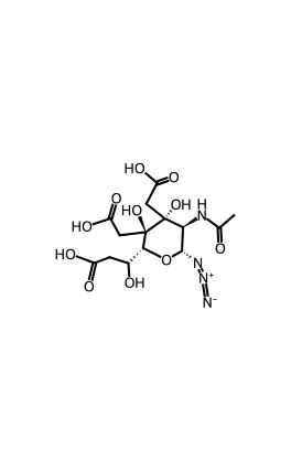 CC(=O)N[C@H]1[C@H](N=[N+]=[N-])O[C@H](C(O)CC(=O)O)[C@](O)(CC(=O)O)[C@@]1(O)CC(=O)O